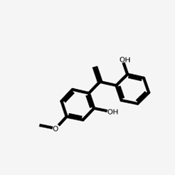 C=C(c1ccccc1O)c1ccc(OC)cc1O